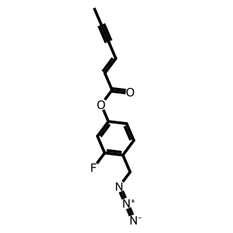 CC#CC=CC(=O)Oc1ccc(CN=[N+]=[N-])c(F)c1